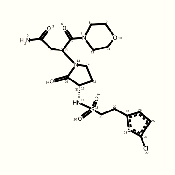 NC(=O)C[C@@H](C(=O)N1CCOCC1)N1CC[C@H](NS(=O)(=O)CCc2ccc(Cl)s2)C1=O